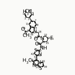 C/C=C\C(=C/C)c1ccc2c(c1)c(C(C)=O)cn2CC(=O)N1C[C@H](F)C[C@H]1C(=O)Nc1nc(-c2c(C)nc3sccn23)cs1